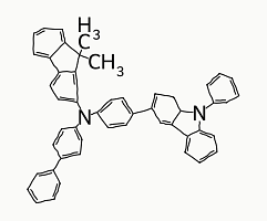 CC1(C)c2ccccc2-c2ccc(N(c3ccc(C4=CCC5C(=C4)c4ccccc4N5c4ccccc4)cc3)c3ccc(-c4ccccc4)cc3)cc21